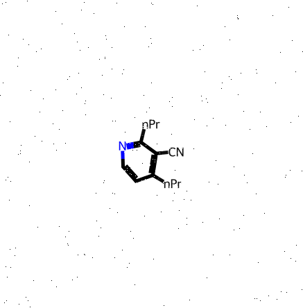 CCCc1ccnc(CCC)c1C#N